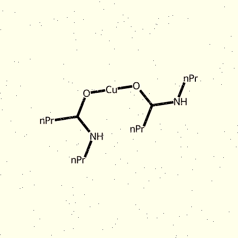 CCCNC(CCC)[O][Cu][O]C(CCC)NCCC